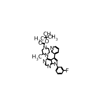 CC1CN(C(=O)OC(C)(C)C)CCN1c1ncnc2c1c(-c1cccnc1)cn2-c1cccc(F)c1